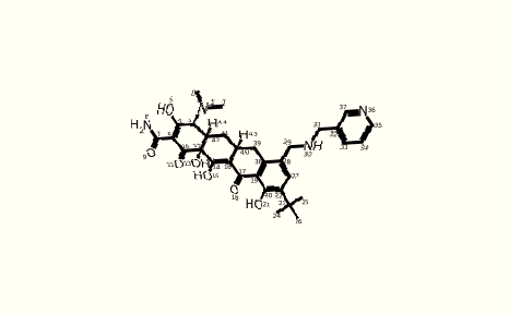 CN(C)[C@@H]1C(O)=C(C(N)=O)C(=O)[C@@]2(O)C(O)=C3C(=O)c4c(O)c(C(C)(C)C)cc(CNCc5cccnc5)c4C[C@H]3C[C@@H]12